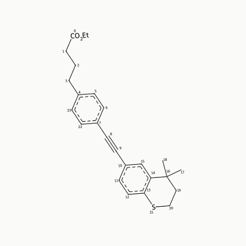 CCOC(=O)CCCc1ccc(C#Cc2ccc3c(c2)C(C)(C)CCS3)cc1